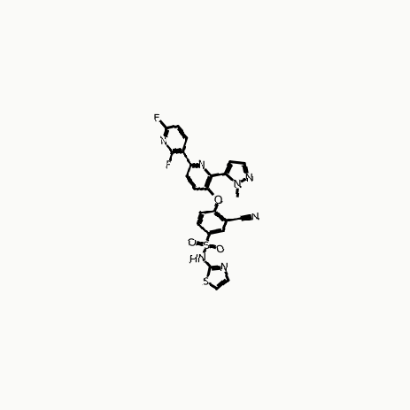 Cn1nccc1-c1nc(-c2ccc(F)nc2F)ccc1Oc1ccc(S(=O)(=O)Nc2nccs2)cc1C#N